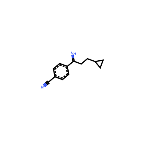 N#Cc1ccc(C(=N)CCC2CC2)cc1